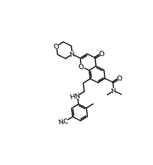 Cc1ccc(C#N)cc1NCCc1cc(C(=O)N(C)C)cc2c(=O)cc(N3CCOCC3)oc12